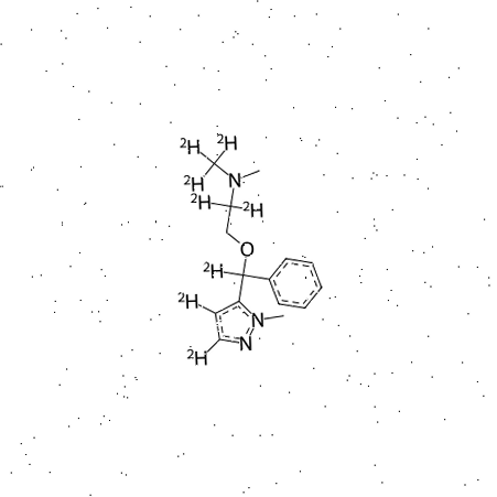 [2H]c1nn(C)c(C([2H])(OCC([2H])([2H])N(C)C([2H])([2H])[2H])c2ccccc2)c1[2H]